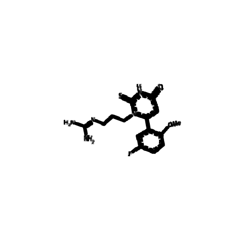 COc1ccc(F)cc1-c1cc(=O)[nH]c(=S)n1CCCN=C(N)N